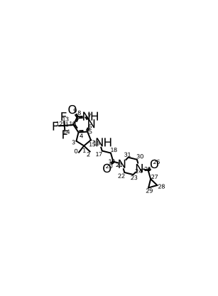 CC1(C)Cc2c(n[nH]c(=O)c2C(F)(F)F)[C@@H]1NCCC(=O)N1CCN(C(=O)C2CC2)CC1